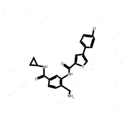 NCc1ccc(C(=O)NC2CC2)cc1NC(=O)c1cc(-c2ccc(Cl)cc2)cs1